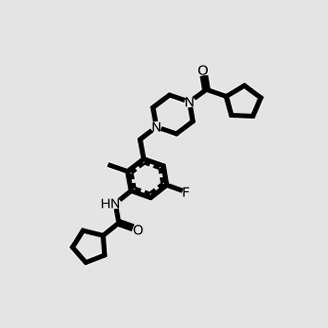 Cc1c(CN2CCN(C(=O)C3CCCC3)CC2)cc(F)cc1NC(=O)C1CCCC1